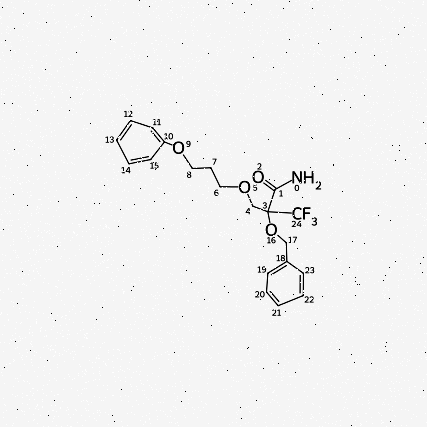 NC(=O)C(COCCCOc1ccccc1)(OCc1ccccc1)C(F)(F)F